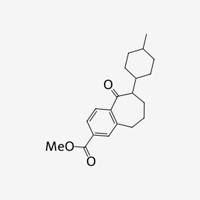 COC(=O)c1ccc2c(c1)CCCC(C1CCC(C)CC1)C2=O